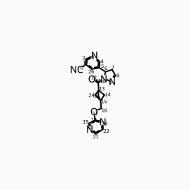 N#Cc1cncc(C2CC=NN2C(=O)C23CC(COc4cnccn4)(C2)C3)c1